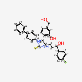 OCc1ccc([C@@H]2[C@H](CCC(O)c3ccc(F)cc3)NC(=S)N2c2ccc(-c3ccccc3)cc2)c(O)c1